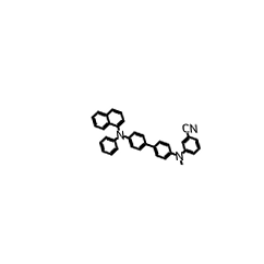 CN(c1ccc(-c2ccc(N(c3ccccc3)c3cccc4ccccc34)cc2)cc1)c1cccc(C#N)c1